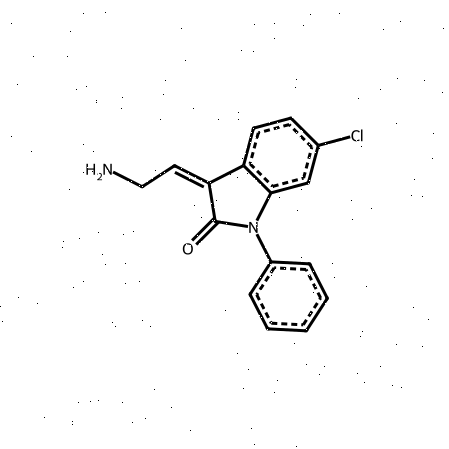 NCC=C1C(=O)N(c2ccccc2)c2cc(Cl)ccc21